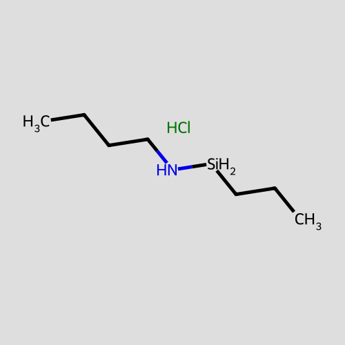 CCCCN[SiH2]CCC.Cl